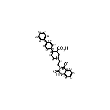 O=C(O)C1CN(CCn2c(=O)[nH]c3ccccc3c2=O)CCC1c1ccc(-c2ccccc2)cc1